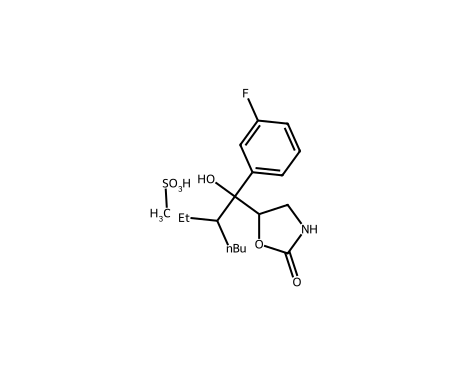 CCCCC(CC)C(O)(c1cccc(F)c1)C1CNC(=O)O1.CS(=O)(=O)O